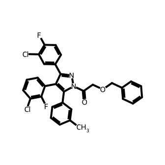 Cc1cccc(-c2c(-c3cccc(Cl)c3F)c(-c3ccc(F)c(Cl)c3)nn2C(=O)COCc2ccccc2)c1